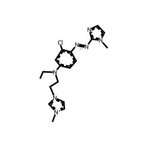 CCN(CCn1cc[n+](C)c1)c1ccc(/N=N/c2nccn2C)c(Cl)c1